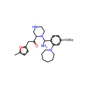 COc1ccc(C(N)N2CCNCC2C(=O)Cc2ccc(C)o2)c(N2CCCCCC2)c1